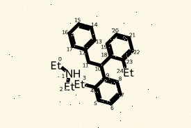 CCNCC.CCc1ccccc1C(Cc1ccccc1)c1ccccc1CC